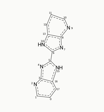 c1cnc2nc(-c3nc4ncccc4[nH]3)[nH]c2c1